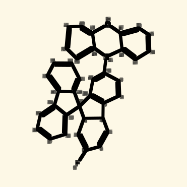 FC1=CC2C(C=C1)c1ccc(N3c4ccccc4Oc4ccccc43)cc1C21c2ccccc2-c2ccccc21